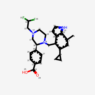 Cc1cc(C2CC2)c(CN2CCN(CC(F)F)C[C@@H]2c2ccc(C(=O)O)cc2)c2cc[nH]c12